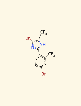 FC(F)(F)c1cc(Br)ccc1-c1nc(Br)c(C(F)(F)F)[nH]1